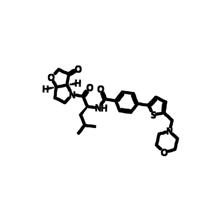 CC(C)C[C@H](NC(=O)c1ccc(-c2ccc(CN3CCOCC3)s2)cc1)C(=O)N1CC[C@H]2OCC(=O)[C@H]21